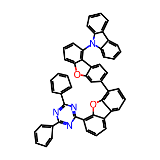 c1ccc(-c2nc(-c3ccccc3)nc(-c3cccc4c3oc3c(-c5ccc6c(c5)oc5cccc(-n7c8ccccc8c8ccccc87)c56)cccc34)n2)cc1